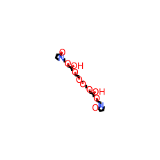 O=C1CCCN1CCOCC(O)COCCOCOCCOCC(O)COCCN1CCCC1=O